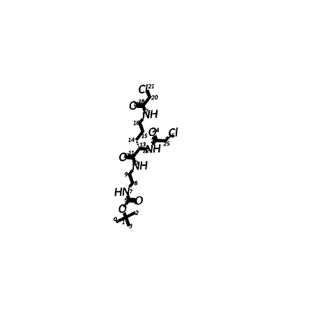 CC(C)(C)OC(=O)NCCNC(=O)[C@H](CCCNC(=O)CCl)NC(=O)CCl